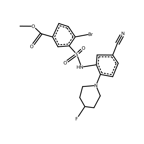 COC(=O)c1ccc(Br)c(S(=O)(=O)Nc2cc(C#N)ccc2N2CCC(F)CC2)c1